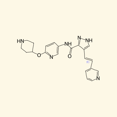 O=C(Nc1ccc(OC2CCNCC2)nc1)c1n[nH]cc1/C=C/c1cccnc1